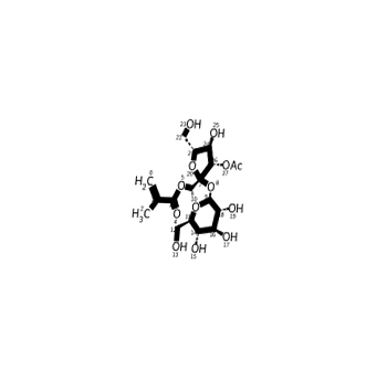 C=C(C)C(=O)OC[C@@]1(O[C@H]2O[C@H](CO)[C@@H](O)[C@H](O)[C@H]2O)O[C@H](CO)[C@@H](O)[C@@H]1OC(C)=O